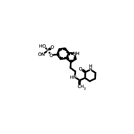 C=C(NCCc1c[nH]c2ccc(OP(=O)(O)N=O)cc12)C1CCCNC1=O